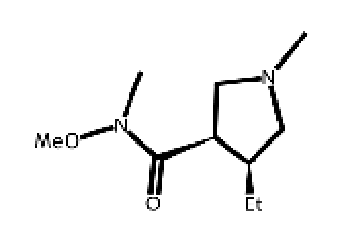 CC[C@@H]1CN(C)C[C@@H]1C(=O)N(C)OC